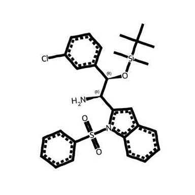 CC(C)(C)[Si](C)(C)O[C@H](c1cccc(Cl)c1)[C@H](N)c1cc2ccccc2n1S(=O)(=O)c1ccccc1